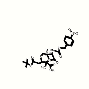 CC(C)(C)OC(=O)CC1SC[C@@H]2[C@H](NC(=O)OCc3ccc([N+](=O)[O-])cc3)C(=O)N2C1(O)C(=O)O